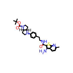 Cc1ccc2c(N)c(C(=O)NCCc3ccc(N4CC[C@H]5[C@@H]4CCN5C(=O)OC(C)(C)C)cc3)sc2n1